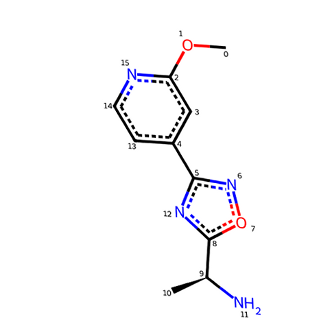 COc1cc(-c2noc([C@H](C)N)n2)ccn1